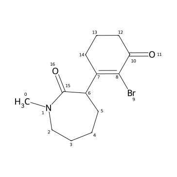 CN1CCCCC(C2=C(Br)C(=O)CCC2)C1=O